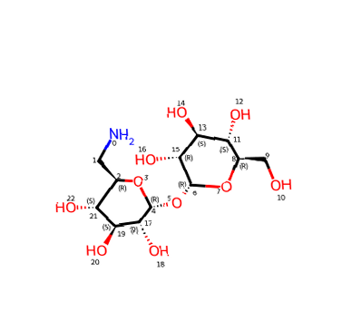 NC[C@H]1O[C@H](O[C@H]2O[C@H](CO)[C@@H](O)[C@H](O)[C@H]2O)[C@H](O)[C@@H](O)[C@@H]1O